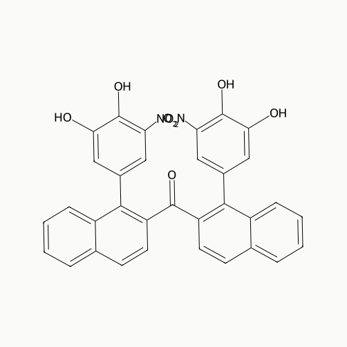 O=C(c1ccc2ccccc2c1-c1cc(O)c(O)c([N+](=O)[O-])c1)c1ccc2ccccc2c1-c1cc(O)c(O)c([N+](=O)[O-])c1